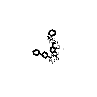 COc1nc2c(C)c(C(=O)NS(=O)(=O)c3ccccc3)ccc2n1Cc1ccc(-c2ccccc2)cc1